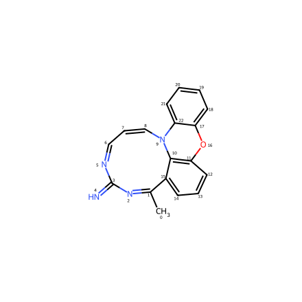 Cc1nc(=N)ncccn2c3c(cccc13)Oc1ccccc1-2